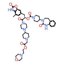 Cc1cc(C[C@@H](OC(=O)N2CCC(N3CCc4ccccc4NC3=O)CC2)C(=O)N2CCN(C3CCN(CC(=O)OCCN4CCOCC4)CC3)CC2)cc2oc(=O)[nH]c12